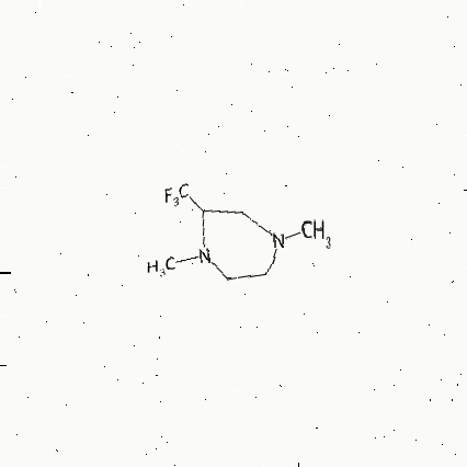 CN1CCN(C)C(C(F)(F)F)C1